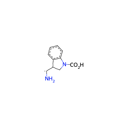 N[CH]C1CN(C(=O)O)c2ccccc21